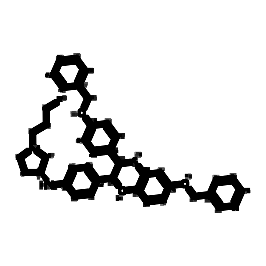 FCCCN1CC[C@H](Nc2ccc(C3Oc4ccc(OCc5ccccc5)cc4SC3c3ccc(OCc4ccccc4)cc3)cc2)C1